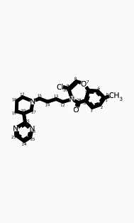 Cc1ccc2c(c1)OC=C(Cl)N(CCCCN1CCCC(c3ncccn3)C1)C2=O